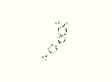 CCC[C@]1(O)CC[C@]2(CCN(c3ccc(C4CC4)cc3)C2)CC1